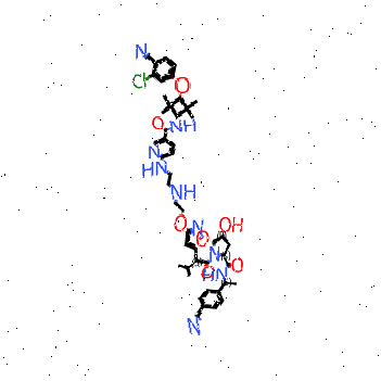 CC(C)[C@H](C(=O)N1C[C@H](O)C[C@H]1C(=O)N[C@@H](C)c1ccc(C#N)cc1)c1cc(OCCNCCNc2ccc(C(=O)N[C@H]3C(C)(C)[C@H](Oc4ccc(C#N)c(Cl)c4)C3(C)C)cn2)no1